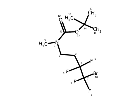 CN(CCC(F)(F)C(F)(F)Br)C(=O)OC(C)(C)C